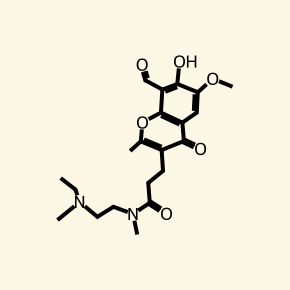 CCN(C)CCN(C)C(=O)CCc1c(C)oc2c(C=O)c(O)c(OC)cc2c1=O